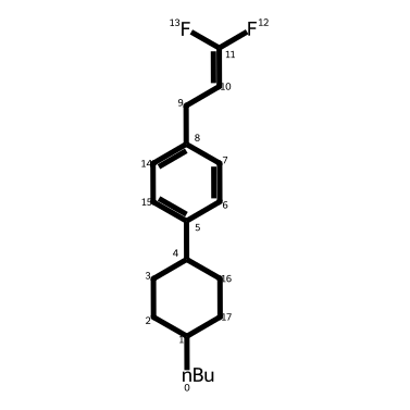 CCCCC1CCC(c2ccc(CC=C(F)F)cc2)CC1